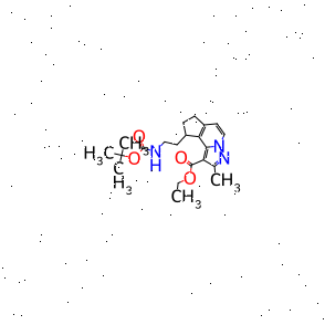 CCOC(=O)c1c(C)nn2ccc3c(c12)C(CCNC(=O)OC(C)(C)C)CC3